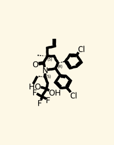 C=CC[C@@]1(C)C[C@H](c2cccc(Cl)c2)C(c2ccc(Cl)cc2)N([C@@H](CC)CC(O)(O)C(F)(F)F)C1=O